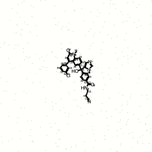 Cn1cncc1C(O)(c1ccc(C(=O)NCCC#N)cc1)c1ccc2c(c1)c(-c1cccc(Cl)c1)cc(=O)n2C